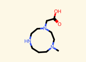 CN1CCCNCCN(CC(=O)O)CC1